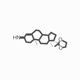 CC1([C@H]2CCC3C4CCC5=CC(=N)CC[C@]5(C)C4CC[C@@]32C)OCCO1